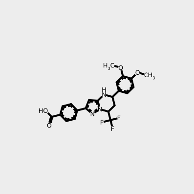 COc1ccc(C2CC(C(F)(F)F)n3nc(-c4ccc(C(=O)O)cc4)cc3N2)cc1OC